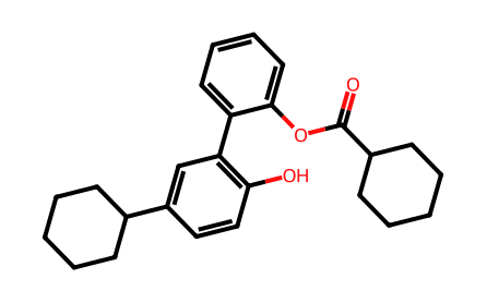 O=C(Oc1ccccc1-c1cc(C2CCCCC2)ccc1O)C1CCCCC1